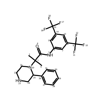 CC(C)(C(=O)Nc1cc(C(F)(F)F)cc(C(F)(F)F)c1)N1CCNCC1c1ccccc1